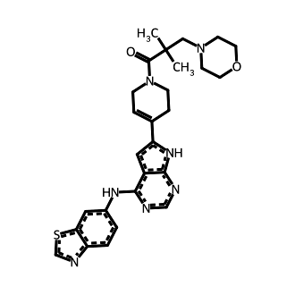 CC(C)(CN1CCOCC1)C(=O)N1CC=C(c2cc3c(Nc4ccc5ncsc5c4)ncnc3[nH]2)CC1